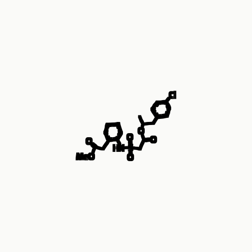 COC(=O)Cc1ccccc1NS(=O)(=O)CC(=O)OC(C)Cc1ccc(Cl)cc1